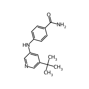 CC(C)(C)c1cncc(Nc2ccc(C(N)=O)cc2)c1